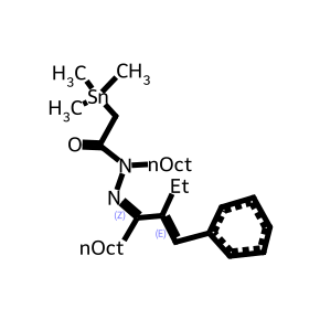 CCCCCCCCC(=N/N(CCCCCCCC)C(=O)[CH2][Sn]([CH3])([CH3])[CH3])/C(=C/c1ccccc1)CC